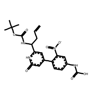 C=CCC(NC(=O)OC(C)(C)C)c1cc(-c2ccc(NC(=O)O)cc2[N+](=O)[O-])cc(=O)[nH]1